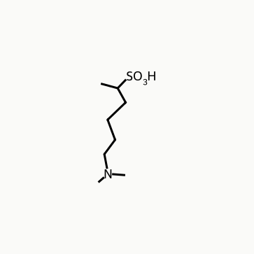 CC(CCCCN(C)C)S(=O)(=O)O